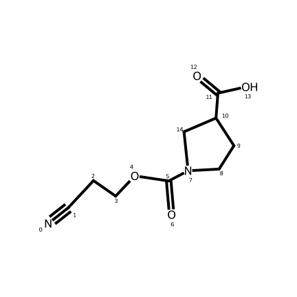 N#CCCOC(=O)N1CCC(C(=O)O)C1